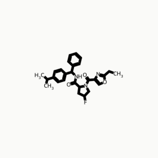 CCc1nc(C(=O)N2CC(F)CC2C(=O)NC(c2ccccc2)c2ccc(C(C)C)cc2)co1